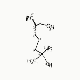 CC(C)C(O)CCCC(C)(O)C(C)C